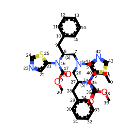 CCC(CC)CN(C[C@H](Cc1ccccc1)N(C(=O)OC)c1cncs1)C[C@H](Cc1ccccc1)N(C(=O)OC)c1cncs1